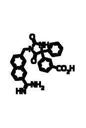 N=C(N)c1ccc2ccc(CN3C(=O)NC(c4ccccc4)(c4cccc(C(=O)O)c4)C3=O)cc2c1